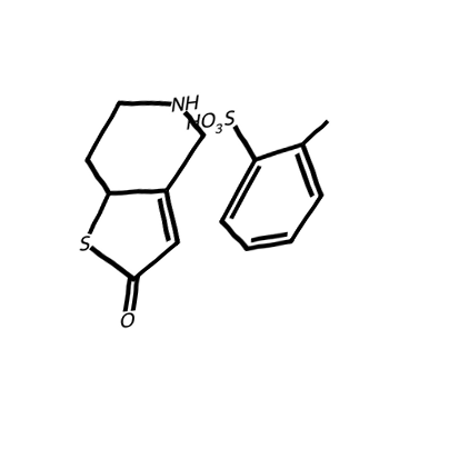 Cc1ccccc1S(=O)(=O)O.O=C1C=C2CNCCC2S1